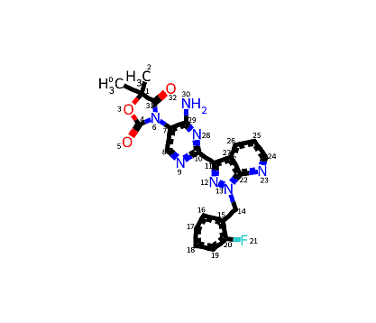 CC1(C)OC(=O)N(c2cnc(-c3nn(Cc4ccccc4F)c4ncccc34)nc2N)C1=O